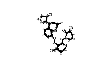 Cc1cc(C2=NN=CC2Cl)c2cccc(OCc3c(Cl)ccnc3Cn3cccc(C#N)c3=O)c2n1